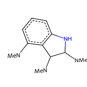 CNc1cccc2c1C(NC)C(NC)N2